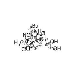 Cc1cc([C@@]2(C#N)[C@H](CC(C)(C)C)N[C@@H](C(=O)NCC[C@H](O)CO)[C@@H]2c2cccc(Cl)c2F)ccc1Cl